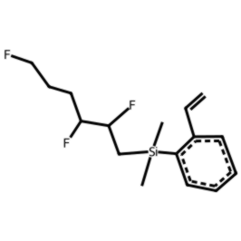 C=Cc1ccccc1[Si](C)(C)CC(F)C(F)CCCF